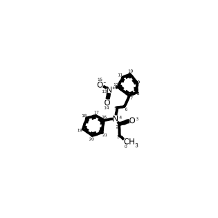 CCC(=O)N(CCc1ccccc1[N+](=O)[O-])c1ccccc1